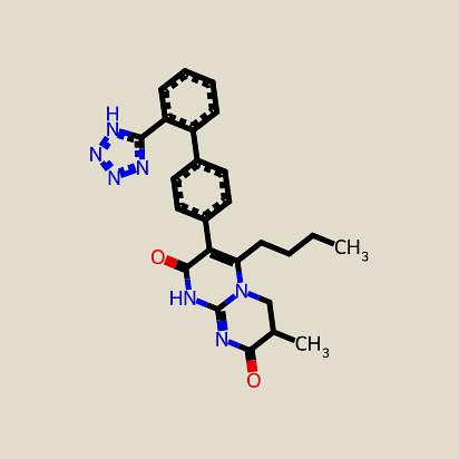 CCCCC1=C(c2ccc(-c3ccccc3-c3nnn[nH]3)cc2)C(=O)NC2=NC(=O)C(C)CN21